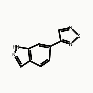 c1cc2cn[nH]c2cc1-c1cnsn1